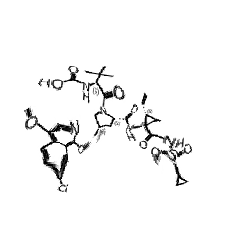 C=C[C@@H]1C[C@]1(NC(=O)[C@@H]1C[C@@H](Oc2ncc(OC)c3ccc(Cl)cc23)CN1C(=O)[C@@H](NC(=O)O)C(C)(C)C)C(=O)NS(=O)(=O)C1CC1